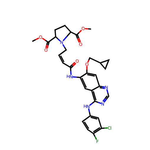 COC(=O)C1CCC(C(=O)OC)N1C/C=C\C(=O)Nc1cc2c(Nc3ccc(F)c(Cl)c3)ncnc2cc1OCC1CC1